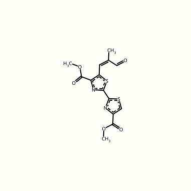 COC(=O)c1csc(-c2nc(C(=O)OC)c(C=C(C)C=O)s2)n1